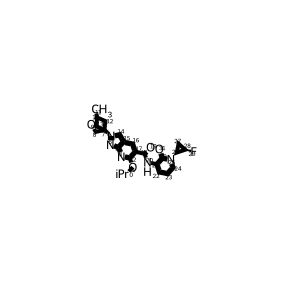 CC(C)Oc1nc2nn(C34COC(C)(C3)C4)cc2cc1C(=O)Nc1cccn([C@@H]2C[C@H]2F)c1=O